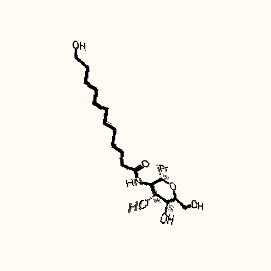 CC(C)[C@@H]1OC(CO)[C@@H](O)[C@H](O)C1NC(=O)CCCCCCCCCCCO